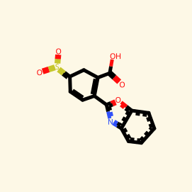 O=C(O)C1=C(c2nc3ccccc3o2)C=CC(=S(=O)=O)C1